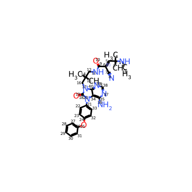 CNC(C)(C)/C=C(\C#N)C(=O)NCC(C)(C)Cn1c(=O)n(-c2ccc(Oc3ccccc3)cc2)c2c(N)ncnc21